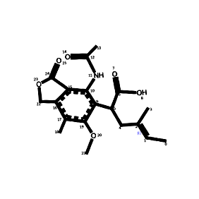 C/C=C(\C)CC(C(=O)O)c1c(NC(C)=O)c2c(c(C)c1OC)COC2=O